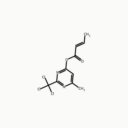 CC=CC(=O)Oc1cc(C)nc(C(Cl)(Cl)Cl)n1